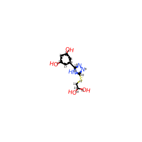 Oc1cc(O)cc(-c2nnc(SCC(O)O)[nH]2)c1